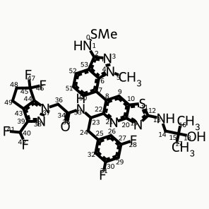 CSNc1nn(C)c2c(-c3cc4sc(NCC(C)(C)O)nc4nc3C(Cc3cc(F)cc(F)c3)NC(=O)Cn3nc(C(F)F)c4c3C(F)(F)CC4)cccc12